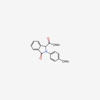 COC(=O)C1c2ccccc2C(=O)N1c1ccc(OC)cc1